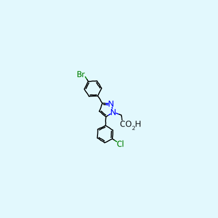 O=C(O)Cn1nc(-c2ccc(Br)cc2)cc1-c1cccc(Cl)c1